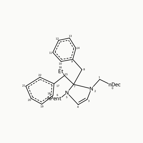 CCCCCCCCCCCN1C=CN(CCCCC)C1(Cc1ccccc1)C(CC)c1ccccc1